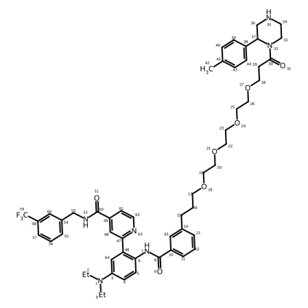 CCN(CC)c1ccc(NC(=O)c2cccc(CCCOCCOCCOCCOCCC(=O)N3CCNCC3c3ccc(C)cc3)c2)c(-c2cc(C(=O)NCc3cccc(C(F)(F)F)c3)ccn2)c1